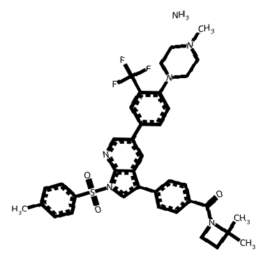 Cc1ccc(S(=O)(=O)n2cc(-c3ccc(C(=O)N4CCC4(C)C)cc3)c3cc(-c4ccc(N5CCN(C)CC5)c(C(F)(F)F)c4)cnc32)cc1.N